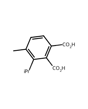 Cc1ccc(C(=O)O)c(C(=O)O)c1C(C)C